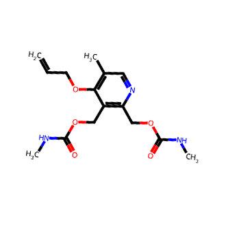 C=CCOc1c(C)cnc(COC(=O)NC)c1COC(=O)NC